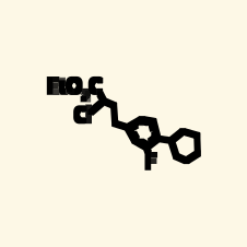 CCOC(=O)C(Cl)CCc1ccc(C2CCCCC2)c(F)c1